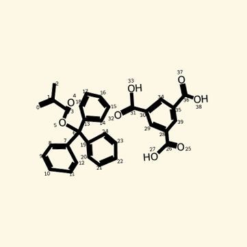 C=C(C)C(=O)OC(c1ccccc1)(c1ccccc1)c1ccccc1.O=C(O)c1cc(C(=O)O)cc(C(=O)O)c1